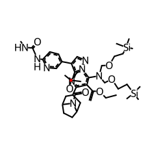 C=C(OCC)c1c(C2CC3CCC(C2)N3C(=O)OC(C)(C)C)nc2c(-c3ccc(NC(=O)NC)nc3)cnn2c1N(COCC[Si](C)(C)C)COCC[Si](C)(C)C